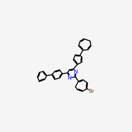 BrC1=CC=C(c2nc(-c3ccc(C4=CC=CCC=C4)cc3)cc(-c3ccc(-c4ccccc4)cc3)n2)CC=C1